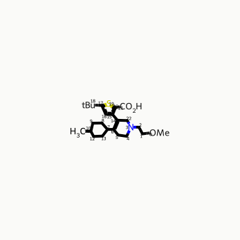 COCCN1CCC(C2CCC(C)CC2)=C(c2cc(C(C)(C)C)sc2C(=O)O)C1